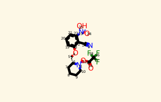 N#Cc1c(OC[C@H]2CCCCN2OC(=O)C(F)(F)F)cccc1[N+](=O)O